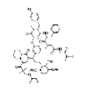 C=CC(=O)OCC(C)(C)C(=O)C(=O)N1CCCC[C@H]1C(=O)O[C@H](CCc1c(OC)ccc(OC)c1OC)c1cccc(OCC(=O)N(C)[C@@H](Cc2ccc(O)cc2)C(=O)N[C@H](Cc2ccccc2)C(=O)N(C)CC(=O)NCC(=O)N(C)CC)c1